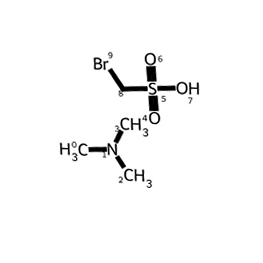 CN(C)C.O=S(=O)(O)CBr